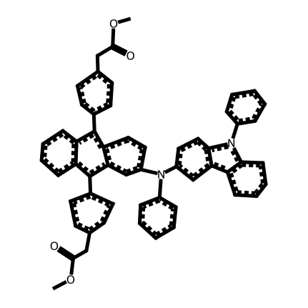 COC(=O)Cc1ccc(-c2c3ccccc3c(-c3ccc(CC(=O)OC)cc3)c3cc(N(c4ccccc4)c4ccc5c(c4)c4ccccc4n5-c4ccccc4)ccc23)cc1